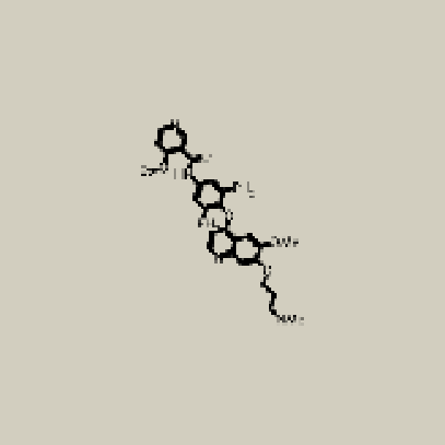 CCOc1ccncc1C(=O)Nc1cc(P)c(Oc2ccnc3cc(OCCCNC)c(OC)cc23)c(P)c1